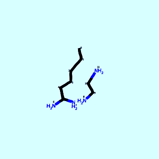 CCCCCC(N)N.NCCN